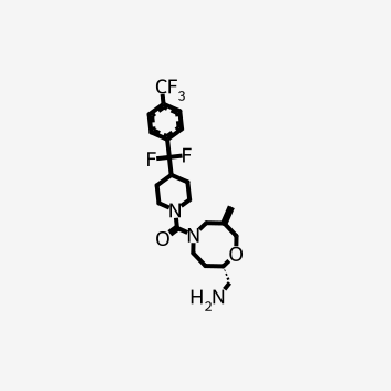 C=C1CO[C@H](CN)CCN(C(=O)N2CCC(C(F)(F)c3ccc(C(F)(F)F)cc3)CC2)C1